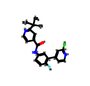 CC(C)(C#N)c1cc(C(=O)Nc2ccc(F)c(-c3ccnc(Cl)c3)c2)ccn1